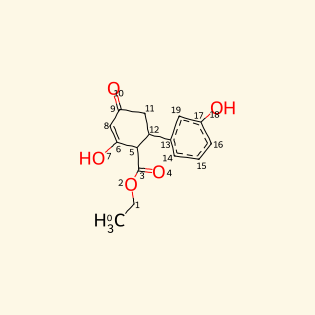 CCOC(=O)C1C(O)=CC(=O)CC1c1cccc(O)c1